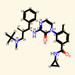 Cc1ccc(C(=O)NC2CC2)cc1-n1ccnc(N[C@@H](c2ccccc2)[C@H](C)CN(C)C(C)(C)C)c1=O